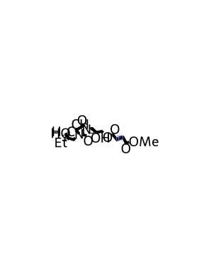 CCC(O)CN1C(=O)N(CC(O)COC(=O)/C=C/C(=O)OC)C(=O)C1(C)C